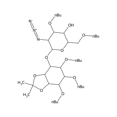 CCCCOCC1OC(OC2C(OCCCC)C(OCCCC)C(OCCCC)C3OC(C)(C)OC23)C(N=[N+]=[N-])C(OCCCC)C1O